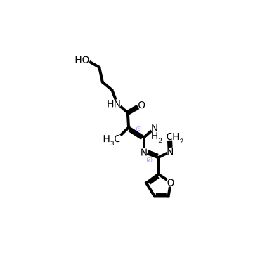 C=N/C(=N\C(N)=C(/C)C(=O)NCCCO)c1ccco1